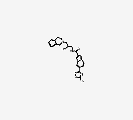 CC(C)c1nc(-c2ccc3nc(C(=O)NCC(O)CN4CCc5ccccc5C4)cn3c2)no1